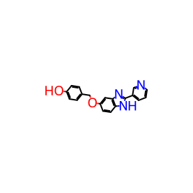 Oc1ccc(COc2ccc3[nH]c(-c4cccnc4)nc3c2)cc1